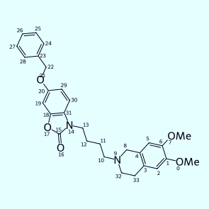 COc1cc2c(cc1OC)CN(CCCCn1c(=O)oc3cc(OCc4ccccc4)ccc31)CC2